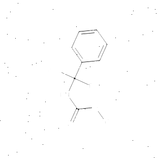 CCC(NC(=O)OC(C)(C)C)(C(=O)O)c1ccccc1